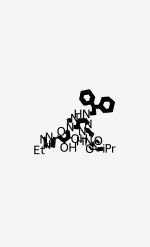 CCn1cc([C@H]2O[C@@H](n3cnc4c(NCC(c5ccccc5)c5ccccc5)nc(CNS(=O)(=O)CC(C)C)nc43)[C@H](O)[C@@H]2O)nn1